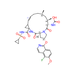 COc1ccc2c(O[C@@H]3C[C@H]4C(=O)NC5(C(=O)NS(=O)(=O)C6CC6)CC5/C=C\CC[C@@H](C)C[C@@H](C)[C@H](NC(=O)O)C(=O)N4C3)nccc2c1F